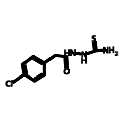 NC(=S)NNC(=O)Cc1ccc(Cl)cc1